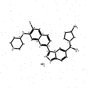 Cl.NC1CCN([C@H](c2ccc3nnc(-c4ccc5cc(F)c(OC6CCOCC6)cc5n4)n3c2)C(F)(F)F)C1